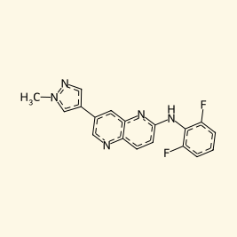 Cn1cc(-c2cnc3ccc(Nc4c(F)cccc4F)nc3c2)cn1